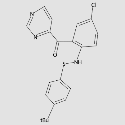 CC(C)(C)c1ccc(SNc2ccc(Cl)cc2C(=O)c2ccncn2)cc1